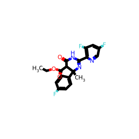 CCOC(=O)C1C(=O)NC(c2ncc(F)cc2F)=NC1(C)c1ccc(F)cc1